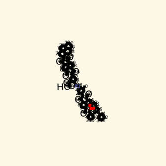 Cc1cc(N2C(=O)c3ccc4c5c(ccc(c35)C2=O)C(=O)N(c2ccccc2C2C(c3ccccc3)=Cc3ccccc32)C4=O)ccc1/C=C/c1ccc(N2C(=O)c3ccc4c5c(ccc(c35)C2=O)C(=O)N(c2ccc3ccc5cccc6ccc2c3c56)C4=O)cc1S(=O)(=O)O